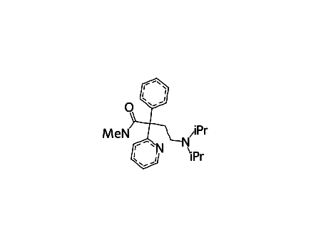 CNC(=O)C(CCN(C(C)C)C(C)C)(c1ccccc1)c1ccccn1